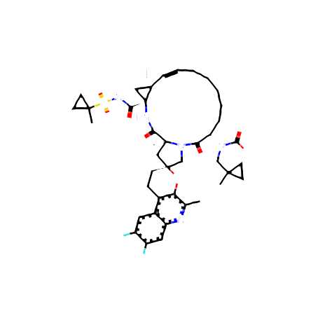 Cc1nc2cc(F)c(F)cc2c2c1O[C@]1(CC2)C[C@H]2C(=O)N[C@]3(C(=O)NS(=O)(=O)C4(C)CC4)C[C@H]3/C=C\CCCCC[C@H](N(CC3(C)CC3)C(=O)O)C(=O)N2C1